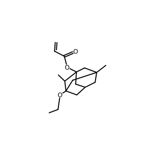 C=CC(=O)OC12CC3CC(C)(CC(OCC)(C3)C1C)C2